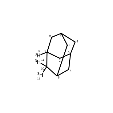 [3H]C12CC3C[C](CC(C3)C1)C2([3H])[3H]